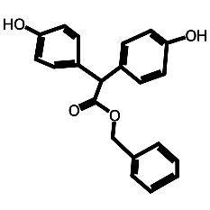 O=C(OCc1ccccc1)C(c1ccc(O)cc1)c1ccc(O)cc1